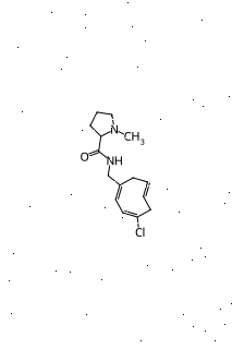 CN1CCCC1C(=O)NC/C1=C/C=C(/Cl)C/C=C/C1